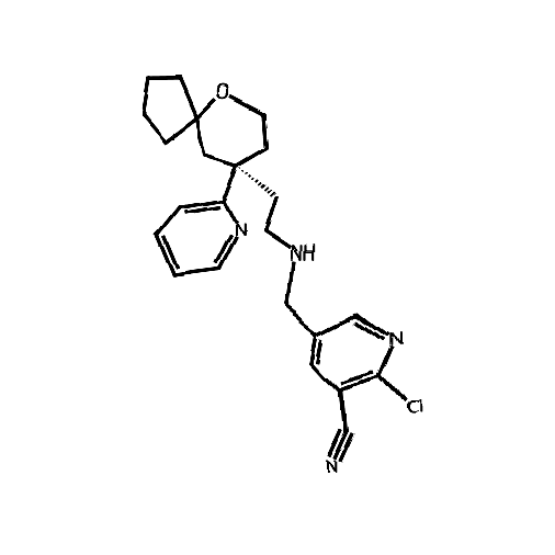 N#Cc1cc(CNCC[C@@]2(c3ccccn3)CCOC3(CCCC3)C2)cnc1Cl